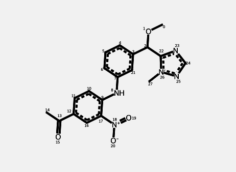 COC(c1cccc(Nc2ccc(C(C)=O)cc2[N+](=O)[O-])c1)c1ncnn1C